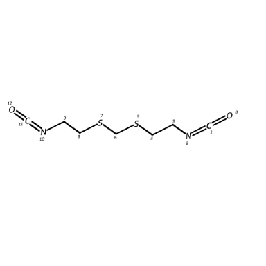 O=C=NCCSCSCCN=C=O